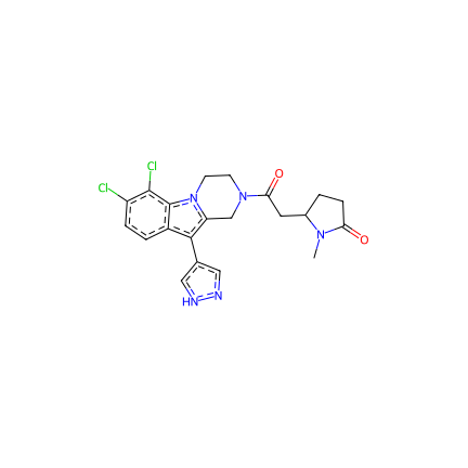 CN1C(=O)CCC1CC(=O)N1CCn2c(c(-c3cn[nH]c3)c3ccc(Cl)c(Cl)c32)C1